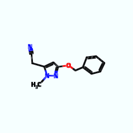 Cn1nc(OCc2ccccc2)cc1CC#N